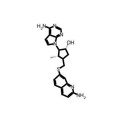 C[C@H]1C(CSc2ccc3ccc(N)nc3c2)C[C@@H](O)C1n1ccc2c(N)ncnc21